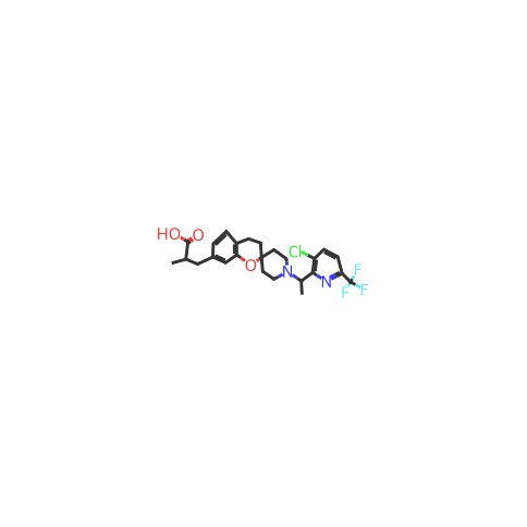 CC(Cc1ccc2c(c1)OC1(CC2)CCN(C(C)c2nc(C(F)(F)F)ccc2Cl)CC1)C(=O)O